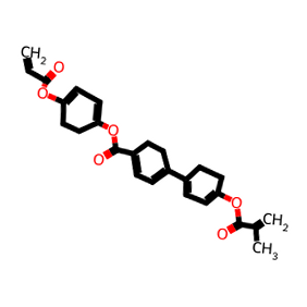 C=CC(=O)OC1=CC=C(OC(=O)C2=CC=C(C3=CC=C(OC(=O)C(=C)C)CC3)CC2)CC1